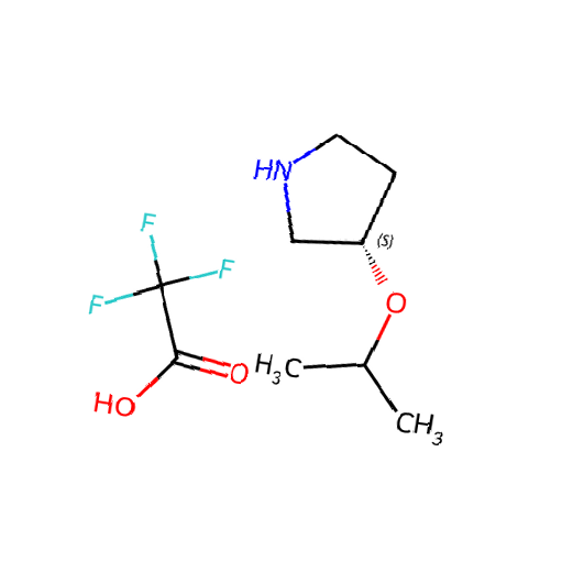 CC(C)O[C@H]1CCNC1.O=C(O)C(F)(F)F